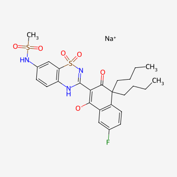 CCCCC1(CCCC)C(=O)C(C2=NS(=O)(=O)c3cc(NS(C)(=O)=O)ccc3N2)=C([O-])c2cc(F)ccc21.[Na+]